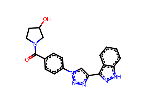 O=C(c1ccc(-n2cc(-c3n[nH]c4ccccc34)nn2)cc1)N1CCC(O)C1